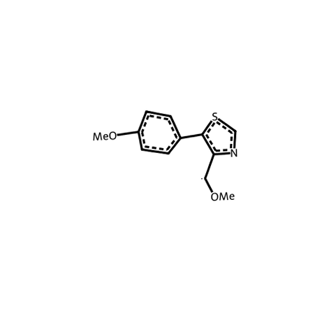 CO[CH]c1ncsc1-c1ccc(OC)cc1